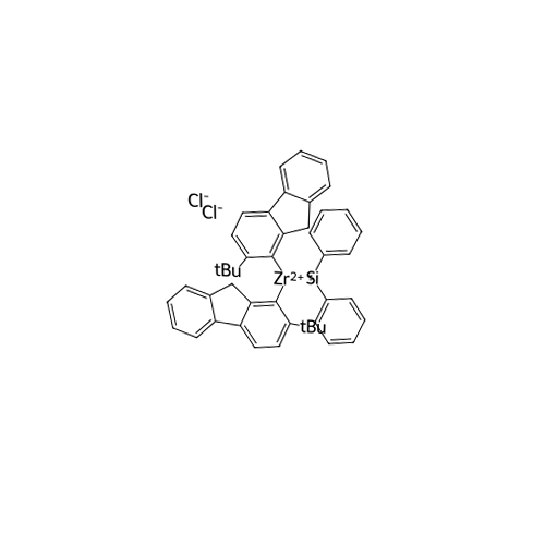 CC(C)(C)c1ccc2c([c]1[Zr+2]([c]1c(C(C)(C)C)ccc3c1Cc1ccccc1-3)=[Si](c1ccccc1)c1ccccc1)Cc1ccccc1-2.[Cl-].[Cl-]